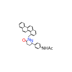 CC(=O)Nc1ccc(C2=NN(Cc3cccc4ccc5c6ccccc6ccc5c34)C(=O)CC2)cc1